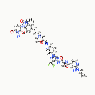 Cn1c(=O)n(C2CCC(=O)NC2=O)c2ccc(CCCN3CCO[C@@H](CNCc4ccc(-n5cc(NC(=O)c6coc(-c7ccnc(NCC8CC8)c7)n6)c(C(F)F)n5)cc4)C3)cc21